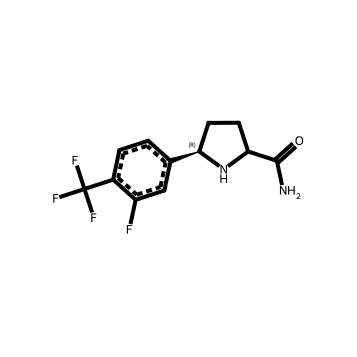 NC(=O)C1CC[C@H](c2ccc(C(F)(F)F)c(F)c2)N1